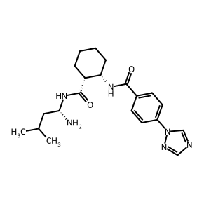 CC(C)C[C@@H](N)NC(=O)[C@@H]1CCCC[C@@H]1NC(=O)c1ccc(-n2cncn2)cc1